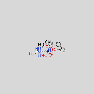 CC(C)(C)OC(=O)N(C(=O)OCC1c2ccccc2-c2ccccc21)[C@@H](CCCNC(=N)N)C(=O)O